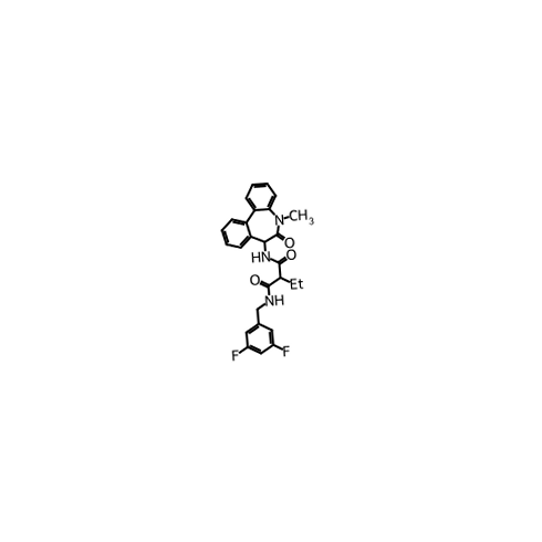 CCC(C(=O)NCc1cc(F)cc(F)c1)C(=O)NC1C(=O)N(C)c2ccccc2-c2ccccc21